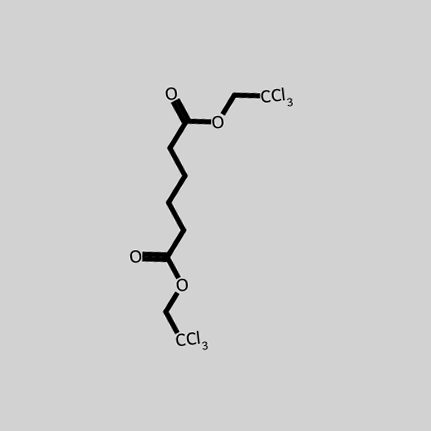 O=C(CCCCC(=O)OCC(Cl)(Cl)Cl)OCC(Cl)(Cl)Cl